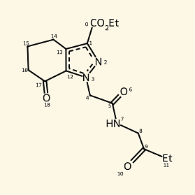 CCOC(=O)c1nn(CC(=O)NCC(=O)CC)c2c1CCCC2=O